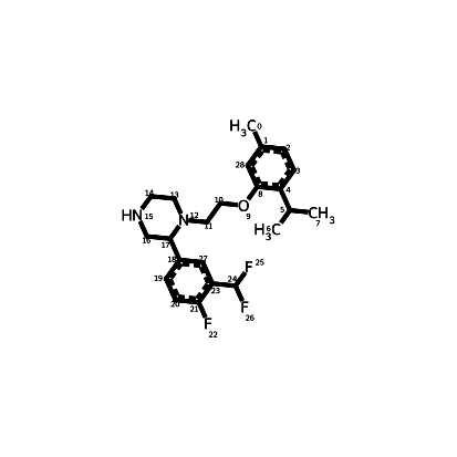 Cc1ccc(C(C)C)c(OCCN2CCNCC2c2ccc(F)c(C(F)F)c2)c1